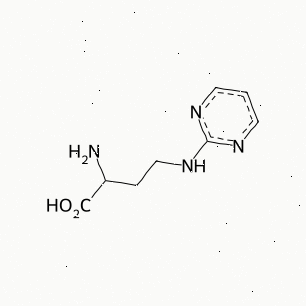 NC(CCNc1ncccn1)C(=O)O